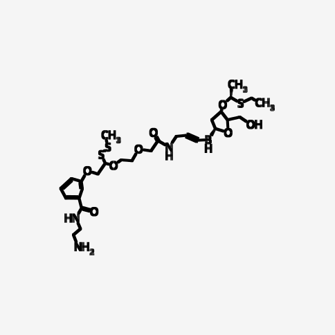 CCS[C@H](C)O[C@@H]1C[C@H](BC#CCNC(=O)COCCOC(COc2cccc(C(=O)NCCN)c2)SSC)OC1CO